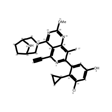 C#Cc1nc(-c2cc(O)cc(Cl)c2C2CC2)c(F)c2nc(OC)nc(N3CC4CCC(C3)N4)c12